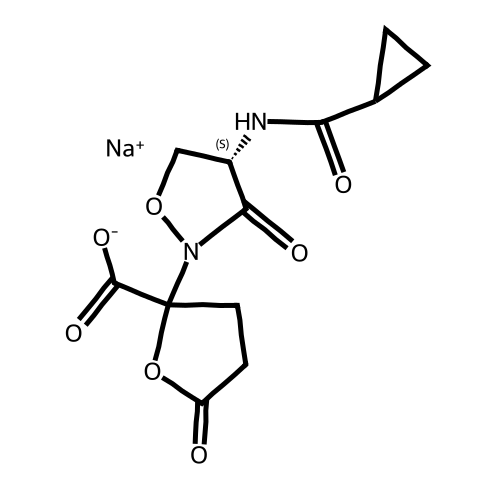 O=C1CCC(C(=O)[O-])(N2OC[C@H](NC(=O)C3CC3)C2=O)O1.[Na+]